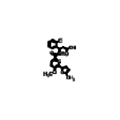 COc1ccc(C(=O)NC(CC(=O)O)c2ccccc2Cl)nc1-c1ccc(C)o1